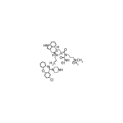 C=CCN1C[C@H](C(=O)N(CCCN(C)C)C(=O)NCC)C[C@@H]2c3cccc4[nH]cc(c34)C[C@H]21.Clc1ccc2c(c1)C(N1CCNCC1)=Nc1ccccc1O2